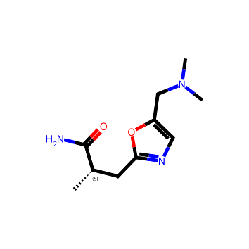 C[C@@H]([CH]c1ncc(CN(C)C)o1)C(N)=O